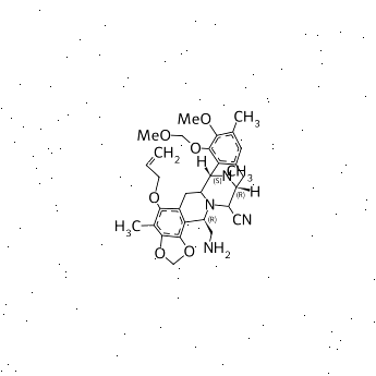 C=CCOc1c(C)c2c(c3c1CC1[C@@H]4c5c(cc(C)c(OC)c5OCOC)C[C@H](C(C#N)N1[C@H]3CN)N4C)OCO2